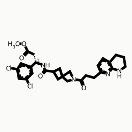 COC(=O)C[C@H](NC(=O)C1CC2(C1)CN(C(=O)CCc1ccc3c(n1)NCCC3)C2)c1cc(Cl)cc(Cl)c1